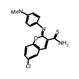 CNc1ccc(/N=c2\oc3ccc(Cl)cc3cc2C(N)=S)cc1